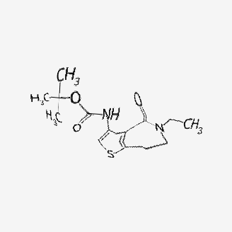 CCN1CCc2scc(NC(=O)OC(C)(C)C)c2C1=O